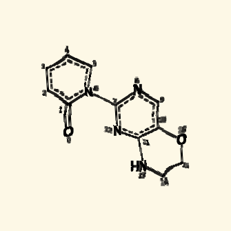 O=c1ccccn1-c1ncc2c(n1)NCCO2